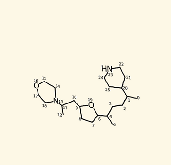 CC(CCC(C)C1CCC(CC(C)N2CCOCC2)O1)C1CCNCC1